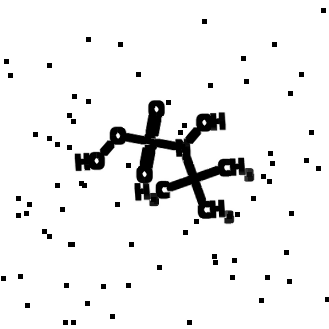 CC(C)(C)N(O)S(=O)(=O)OO